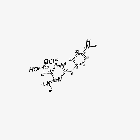 CNc1ccc(Cc2nc(Cl)c(CC(=O)O)c(N(C)C)n2)cc1